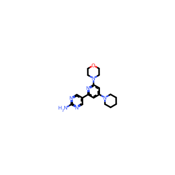 Nc1ncc(-c2cc(N3CCCCC3)cc(N3CCOCC3)n2)cn1